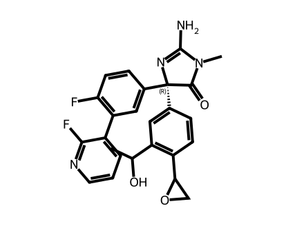 CC(O)c1cc([C@]2(c3ccc(F)c(-c4cccnc4F)c3)N=C(N)N(C)C2=O)ccc1C1CO1